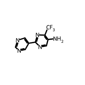 Nc1cnc(-c2cncnc2)nc1C(F)(F)F